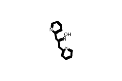 ON=C(Cc1ccccn1)Cc1ccccn1